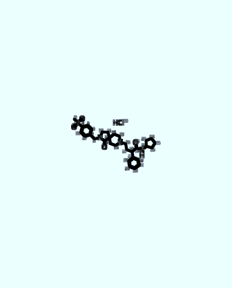 CS(=O)(=O)c1ccc(CN2CCC3(CCN(CCC(C(=O)NC4CCCC4)c4ccccc4)CC3)C2=O)cc1.Cl